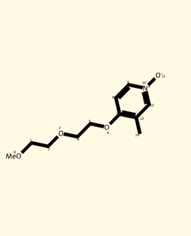 COCCOCCOc1cc[n+]([O-])cc1C